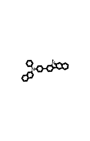 Cn1c2cc(-c3ccc(N(c4ccccc4)c4ccc5ccccc5c4)cc3)ccc2c2cc3ccccc3cc21